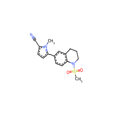 Cn1c(C#N)ccc1-c1ccc2c(c1)CCCN2S(C)(=O)=O